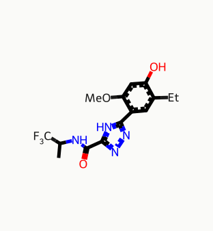 CCc1cc(-c2nnc(C(=O)NC(C)C(F)(F)F)[nH]2)c(OC)cc1O